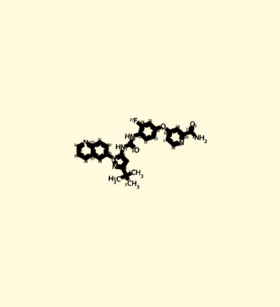 CC(C)(C)c1cc(NC(=O)Nc2ccc(Oc3ccnc(C(N)=O)c3)cc2F)n(-c2ccc3ncccc3c2)n1